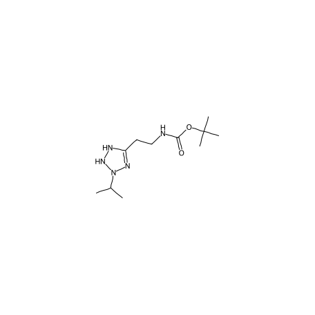 CC(C)N1N=C(CCNC(=O)OC(C)(C)C)NN1